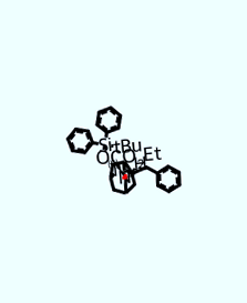 CCOC(=O)N1C2CC3C[C@H]1C([C@H]2O[Si](c1ccccc1)(c1ccccc1)C(C)(C)C)N(Cc1ccccc1)C3